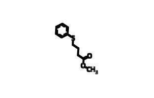 COC(=O)CCCSc1ccccc1